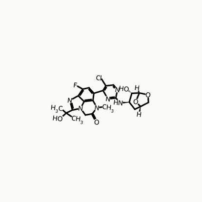 CN1C(=O)Cn2c(C(C)(C)O)nc3c(F)cc(-c4nc(N[C@@H]5C[C@H]6CO[C@H](O6)[C@H]5O)ncc4Cl)c1c32